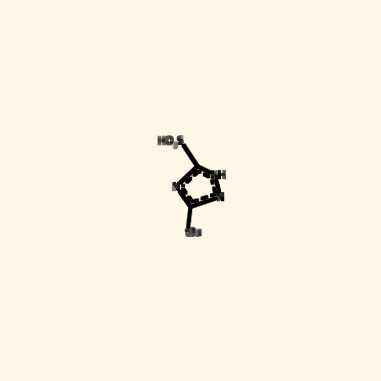 CC(C)(C)c1n[nH]c(S(=O)(=O)O)n1